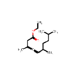 CCOC(=O)CC(C)=C=CC(C)CCC(C)C